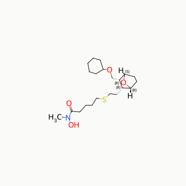 CN(O)C(=O)CCCCSCC[C@@H]1[C@H](COC2CCCCC2)[C@@H]2CC[C@H]1O2